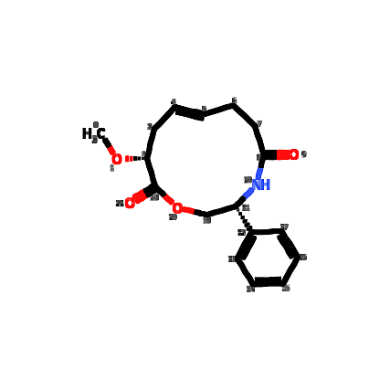 CO[C@@H]1C/C=C/CCC(=O)N[C@H](c2ccccc2)COC1=O